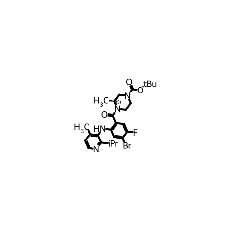 Cc1ccnc(C(C)C)c1Nc1cc(Br)c(F)cc1C(=O)N1CCN(C(=O)OC(C)(C)C)C[C@@H]1C